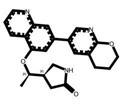 C[C@@H](Oc1cc(-c2cnc3c(c2)CCCO3)cc2ncccc12)[C@H]1CNC(=O)C1